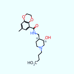 Cc1cc2c(c(C(=O)NC[C@@H]3CCN(CCCC(=O)O)C[C@H]3O)c1)OCCO2